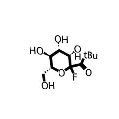 CC(C)(C)C(=O)C1(F)O[C@H](CO)[C@@H](O)[C@H](O)[C@@H]1O